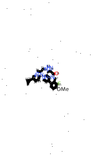 COc1ccc(-c2ccncc2)c(CNC(=O)c2cn(Cc3cn4cc(C5CC5)ccc4n3)nn2)c1F